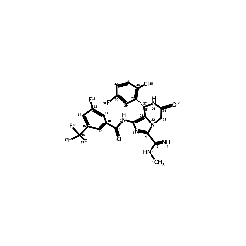 CNC(=N)c1nc(NC(=O)c2cc(F)cc(C(F)(F)F)c2)c2n1CC(=O)N[C@H]2c1cc(F)ccc1Cl